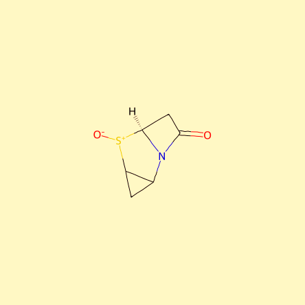 O=C1C[C@H]2N1C1CC1[S+]2[O-]